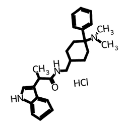 CC(C(=O)NCC1CCC(c2ccccc2)(N(C)C)CC1)c1c[nH]c2ccccc12.Cl